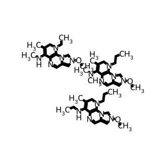 CCCN1CC(C)=C(N(C)C)C2=C1N1CN(OC)C=C1C=N2.CCCN1CC(C)=C(NCC)C2=C1N1CN(OC)C=C1C=N2.CCN1CC(C)=C(NC)C2=C1N1CN(OC)C=C1C=N2